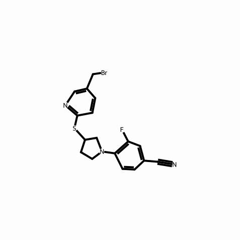 N#Cc1ccc(N2CCC(Sc3ccc(CBr)cn3)C2)c(F)c1